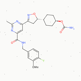 COc1cc(CNC(=O)c2cc(C3=NOC([C@H]4CC[C@H](OC(N)=O)CC4)C3)nc(C)n2)ccc1F